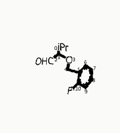 CC(C)C(C=O)OCc1ccccc1F